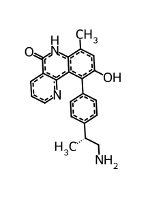 Cc1cc(O)c(-c2ccc([C@@H](C)CN)cc2)c2c1[nH]c(=O)c1cccnc12